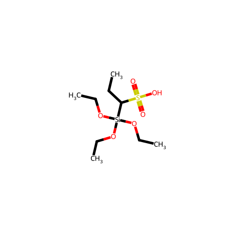 CCO[Si](OCC)(OCC)C(CC)S(=O)(=O)O